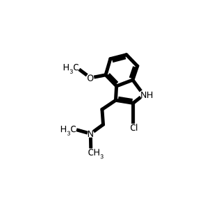 COc1cccc2[nH]c(Cl)c(CCN(C)C)c12